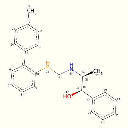 Cc1ccc(-c2ccccc2PCN[C@@H](C)[C@H](O)c2ccccc2)cc1